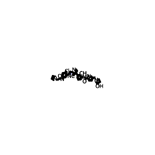 Cc1c(NC(=O)c2ccc(CN3CC[C@@H](O)C3)cn2)cccc1-c1ccnc(/C=C/c2cc3nc(CN4CCCC4)oc3cc2Cl)c1C#N